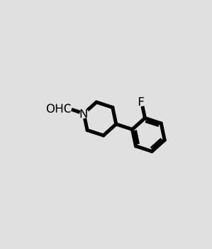 O=CN1CCC(c2ccccc2F)CC1